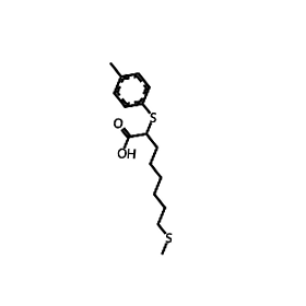 CSCCCCCCC(Sc1ccc(C)cc1)C(=O)O